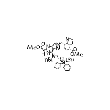 CCCCN(CCO[Si](c1ccccc1)(c1ccccc1)C(C)(C)C)c1nc(NC(=O)OC)nc2cn(Cc3ccc(C(=O)OC)c4cccnc34)nc12